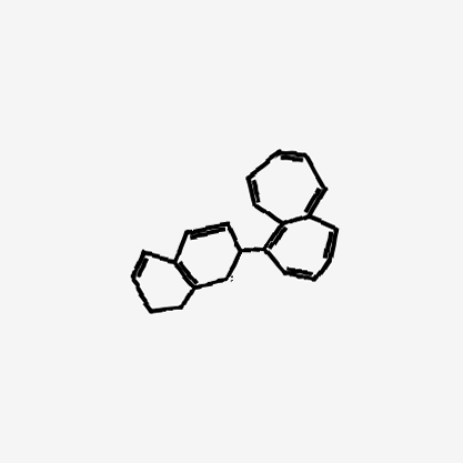 [C]1C2=C(C=CCC2)C=CC1C1=C2C=CC=CC=C2C=CC=C1